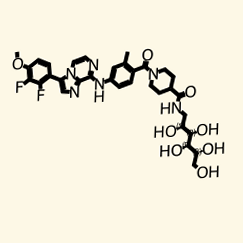 COc1ccc(-c2cnc3c(Nc4ccc(C(=O)N5CCC(C(=O)NC[C@H](O)[C@@H](O)[C@H](O)[C@H](O)CO)CC5)c(C)c4)nccn23)c(F)c1F